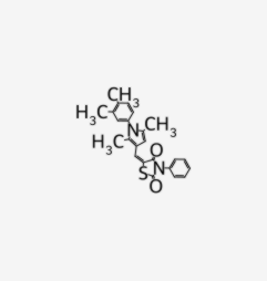 Cc1ccc(-n2c(C)cc(C=C3SC(=O)N(c4ccccc4)C3=O)c2C)cc1C